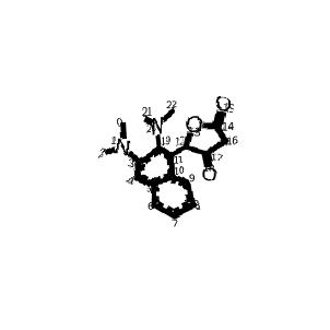 CN(C)c1cc2ccccc2c(C2OC(=O)CC2=O)c1N(C)C